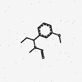 CCC(c1cccc(OC)c1)N(C)[C]=O